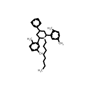 CCCCCCCCP1C(c2cc(C)ccc2C)CC(c2ccccc2)CC1c1cc(C)ccc1C